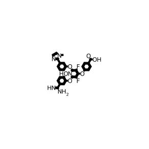 Cn1ccnc1-c1cccc(Oc2nc(Oc3cc(C(=N)N)ccc3O)c(F)c(Oc3ccc(C(=O)O)cc3)c2F)c1